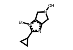 CCn1c(C2CC2)nc2c1CN(O)C2